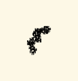 C1=CC2=NCC(c3cc4ccccc4s3)N2N=C1Nc1ccc2c(c1)OCC=C(Nc1ccc3c(c1)OCCCO3)O2